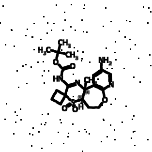 CC(C)(C)OC(=O)NC1=N[C@]2(C)c3cc(N)cnc3OCC[C@H]2S(=O)(=O)C12CCC2